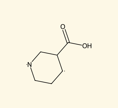 O=C(O)C1[CH]CC[N]C1